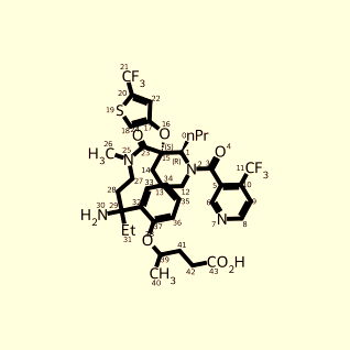 CCC[C@H]1N(C(=O)c2cnccc2C(F)(F)F)CCC[C@@]1(Oc1csc(C(F)(F)F)c1)C(=O)N(C)CCC(N)(CC)c1ccccc1OC(C)CCC(=O)O